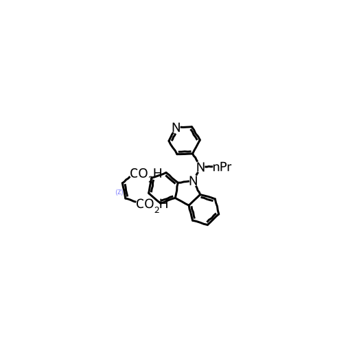 CCCN(c1ccncc1)n1c2ccccc2c2ccccc21.O=C(O)/C=C\C(=O)O